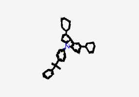 CC(C)(c1ccccc1)c1ccc(-n2c3ccc(C4CCCCC4)cc3c3cc(C4CCCCC4)ccc32)cc1